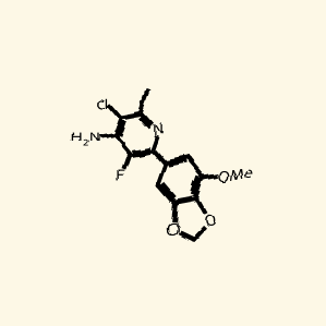 COc1cc(-c2nc(C)c(Cl)c(N)c2F)cc2c1OCO2